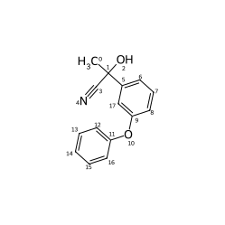 CC(O)(C#N)c1cccc(Oc2ccccc2)c1